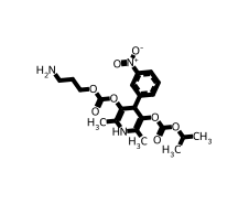 CC1=C(OC(=O)OCCCN)C(c2cccc([N+](=O)[O-])c2)C(OC(=O)OC(C)C)=C(C)N1